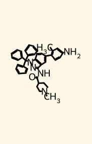 Cc1cc(N)ccc1-c1ccc2c(c1)c(NC(=O)C1CCN(C)CC1)nn2C(c1ccccc1)(c1ccccc1)c1ccccc1